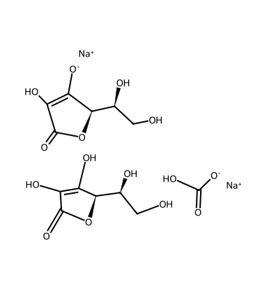 O=C([O-])O.O=C1O[C@H]([C@@H](O)CO)C(O)=C1O.O=C1O[C@H]([C@@H](O)CO)C([O-])=C1O.[Na+].[Na+]